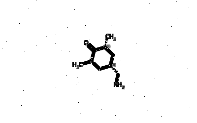 C[C@@H]1C[C@H](CN)CN(C)C1=O